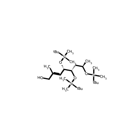 C/C(=C\[C@H](O[Si](C)(C)C(C)(C)C)[C@H](C[C@@H](C)O[Si](C)(C)C(C)(C)C)O[Si](C)(C)C(C)(C)C)CO